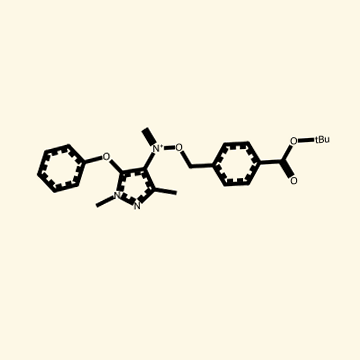 C=[N+](OCc1ccc(C(=O)OC(C)(C)C)cc1)c1c(C)nn(C)c1Oc1ccccc1